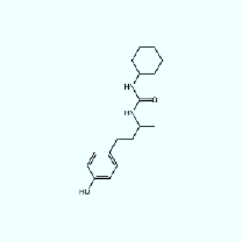 CC(CCc1ccc(O)cc1)NC(=O)NC1CCCCC1